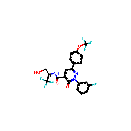 O=C(N[C@H](CO)C(F)(F)F)c1cc(-c2ccc(OC(F)(F)F)cc2)nn(-c2cccc(F)c2)c1=O